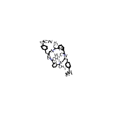 C/C1=N\C[C@H](Cc2ccc(SC#N)cc2)/N=C(\C)c2cccc(n2)/C(C)=N/C[C@H](Cc2ccc(N=C=S)cc2)/N=C(\C)c2cccc1n2